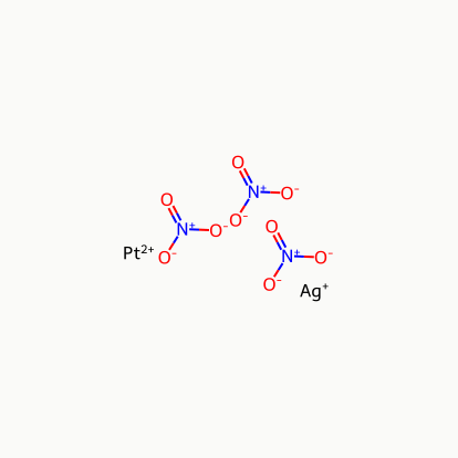 O=[N+]([O-])[O-].O=[N+]([O-])[O-].O=[N+]([O-])[O-].[Ag+].[Pt+2]